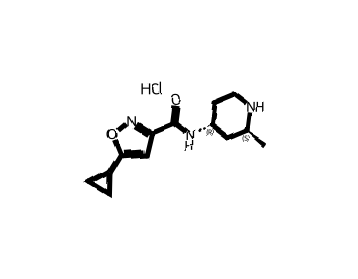 C[C@H]1C[C@H](NC(=O)c2cc(C3CC3)on2)CCN1.Cl